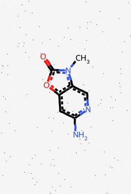 Cn1c(=O)oc2cc(N)ncc21